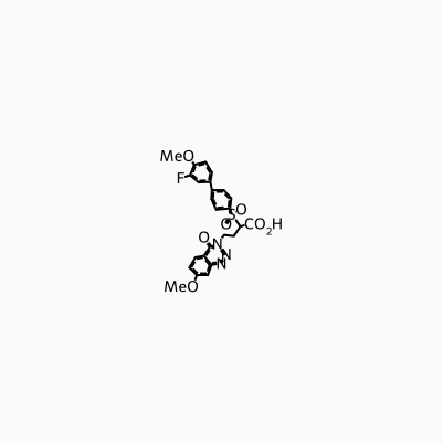 COc1ccc2c(=O)n(CCC(C(=O)O)S(=O)(=O)c3ccc(-c4ccc(OC)c(F)c4)cc3)nnc2c1